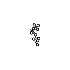 C1=CC(N(c2ccccc2-c2cccc3c2sc2ccccc23)C2C=C(c3cccc4c3Oc3c(ccc5c3-c3ccccc3C53c5ccccc5-c5ccccc53)O4)C=CC2)=CCC1